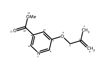 C=C(C)COc1cncc(C(=O)OC)c1